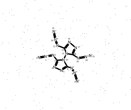 [N-]=[N+]=Nc1nnc(N=[N+]=[N-])n1-n1c(N=[N+]=[N-])nnc1N=[N+]=[N-]